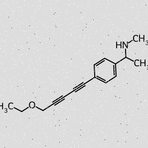 CCOCC#CC#Cc1ccc(C(C)NC)cc1